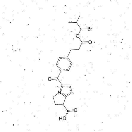 CC(C)C(Br)OC(=O)CCc1ccc(C(=O)c2ccc3n2CCC3C(=O)O)cc1